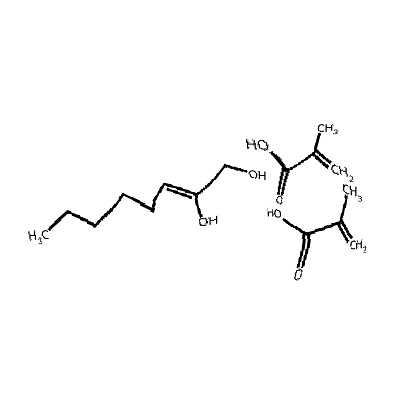 C=C(C)C(=O)O.C=C(C)C(=O)O.CCCCCC=C(O)CO